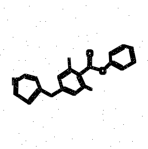 Cc1cc(Cc2ccncc2)cc(C)c1C(=O)Oc1ccccc1